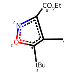 CCOC(=O)c1noc(C(C)(C)C)c1C